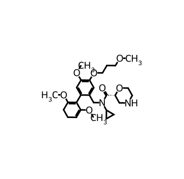 COCCCOc1cc(CN(C(=O)[C@H]2CNCCO2)C2CC2)c(C2=C(OC)CCC=C2OC)cc1OC